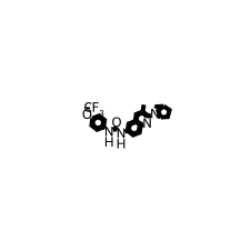 Cc1cc2cc(NC(=O)Nc3ccc(OC(F)(F)F)cc3)ccc2nc1N1CC2CCC1C2